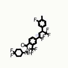 Cc1ccc(C(/C=C(\F)c2ccc3c(c2)C(F)(F)N(NC2CCC(F)(F)CC2)C3=O)C(F)(F)F)cc1F